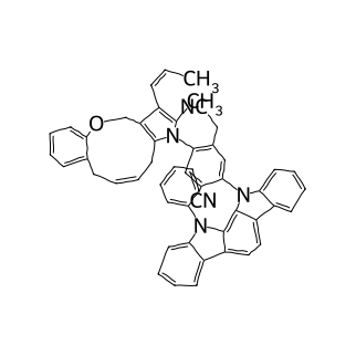 C/C=C\c1c2c(n(-c3cc(C#N)c(-n4c5ccccc5c5ccc6c7ccccc7n(-c7ccccc7)c6c54)cc3CC#N)c1C)C/C=C\Cc1ccccc1OC2